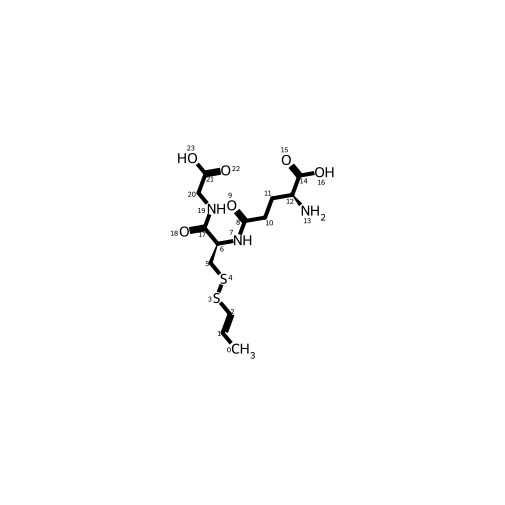 C/C=C/SSC[C@H](NC(=O)CC[C@H](N)C(=O)O)C(=O)NCC(=O)O